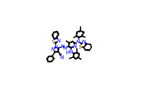 Cc1cc(C)c(Nc2nc(N(c3nc4c(s3)C=CCC4)c3c(C)cc(C)cc3C)cc(C)c2N=Nc2c(C#N)c(-c3ccccc3)nn2-c2nc3ccccc3s2)c(C)c1